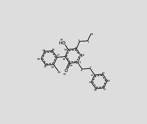 CCCc1nn(CCc2ccccc2)c(=O)c(-c2ccccc2C)c1O